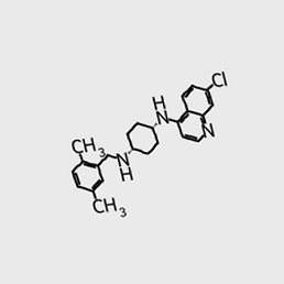 Cc1ccc(C)c(CN[C@H]2CC[C@@H](Nc3ccnc4cc(Cl)ccc34)CC2)c1